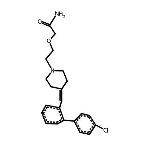 NC(=O)COCCN1CCC(=Cc2ccccc2-c2ccc(Cl)cc2)CC1